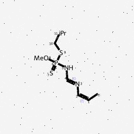 C/C=C\N=C\NP(=S)(OC)SCC(C)C